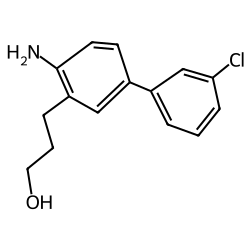 Nc1ccc(-c2cccc(Cl)c2)cc1CCCO